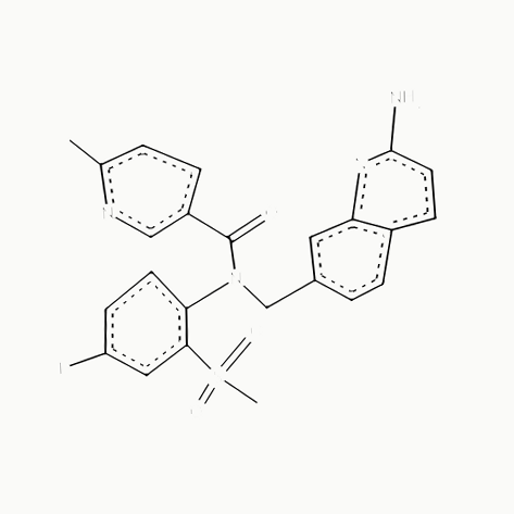 Cc1ccc(C(=O)N(Cc2ccc3ccc(N)nc3c2)c2ccc(F)cc2S(C)(=O)=O)cn1